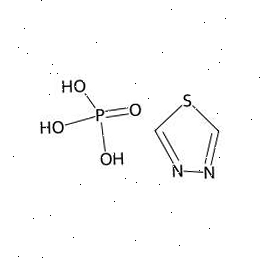 O=P(O)(O)O.c1nncs1